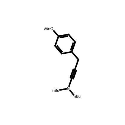 CCCCN(C#CCc1ccc(OC)cc1)CCCC